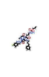 C=CCOC(=O)NCCC[C@H]1C(=O)N(CCCc2ccccc2)C[C@H]2N1C(=O)CN(C)N2C(=O)NCc1ccc(F)cc1